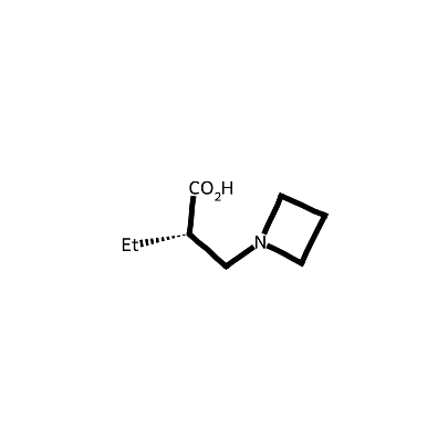 CC[C@@H](CN1CCC1)C(=O)O